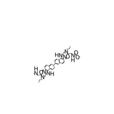 CCCN(Cc1nc2ccc3c(c2[nH]1)=CCC(c1ccc2c(ccc4nc(CN(CCC)C(=O)CNC(=O)OC)[nH]c42)c1)C=3)C(=O)CNC